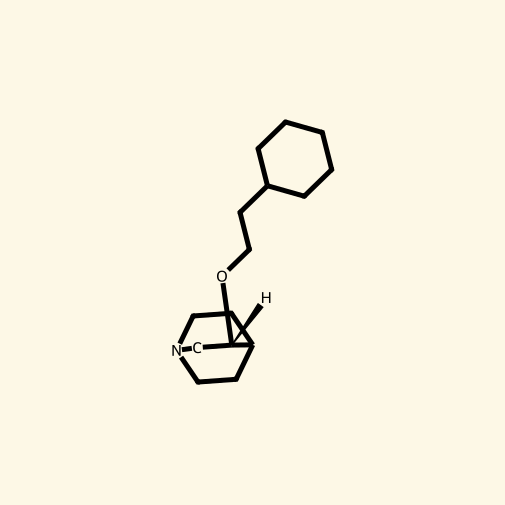 C1CCC(CCO[C@H]2CN3CCC2CC3)CC1